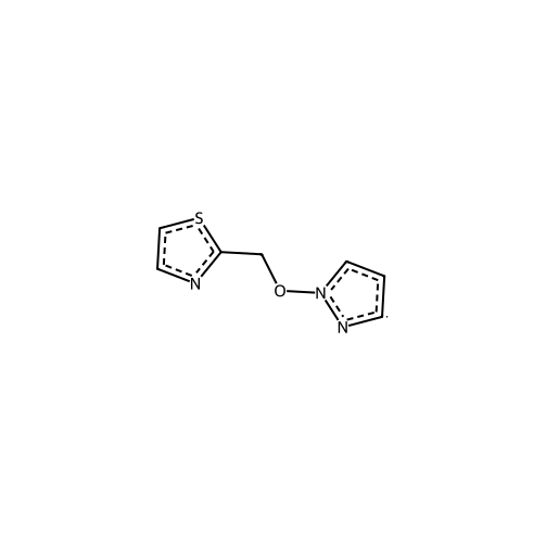 [c]1ccn(OCc2nccs2)n1